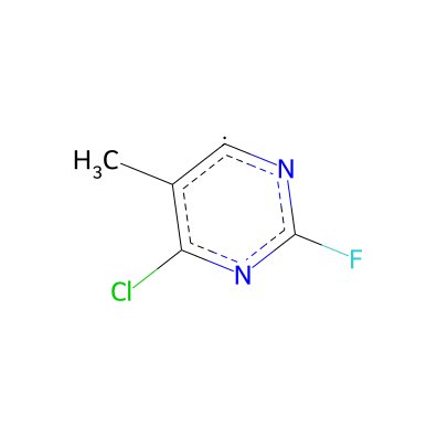 Cc1[c]nc(F)nc1Cl